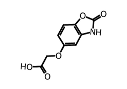 O=C(O)COc1ccc2oc(=O)[nH]c2c1